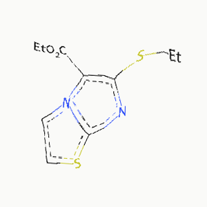 CCOC(=O)c1c(SCC)nc2sccn12